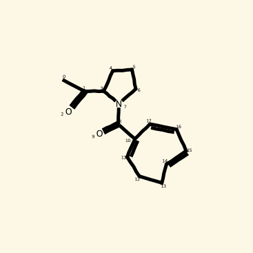 CC(=O)C1CCCN1C(=O)C1=C/CC/C=C/C=C\1